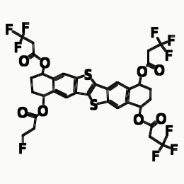 O=C(CCF)OC1CCC(OC(=O)CC(F)(F)F)c2cc3sc4c5cc6c(cc5sc4c3cc21)C(OC(=O)CC(F)(F)F)CCC6OC(=O)CC(F)(F)F